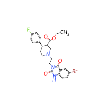 CCOC(=O)C1CN(CCn2c(=O)[nH]c3ccc(Br)cc3c2=O)CC[C@H]1c1ccc(F)cc1